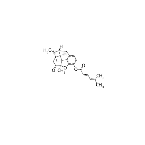 CC(C)=C/C=C/C(=O)Oc1ccc2c3c1O[C@@]1(C)C(=O)CC45C[C@]31[C@@H]4[C@@H](C2)N5C